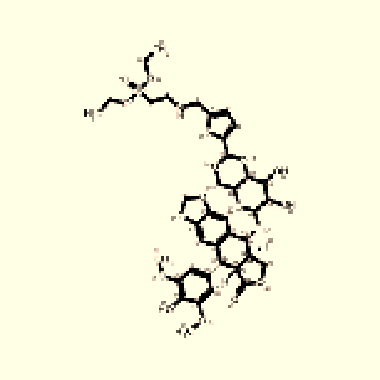 CCOP(=O)(CCNCc1ccc(C2OCC3OC(O[C@@H]4c5cc6c(cc5[C@@H](c5cc(OC)c(O)c(OC)c5)[C@H]5C(=O)OC[C@@H]54)OCO6)C(O)C(O)C3O2)s1)OCC